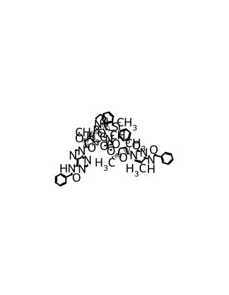 CC[C@H]1O[C@@H](n2cc(C)c(NC(=O)c3ccccc3)nc2=O)[C@@H](C)C1OP(=O)(OC[C@H]1O[C@@H](n2cnc3c(NC(=O)c4ccccc4)ncnc32)[C@@H](OC)C1C[P@@]1O[C@H](C[Si](C)(c2ccccc2)c2ccccc2)[C@@H]2CCCN21)N(C)C